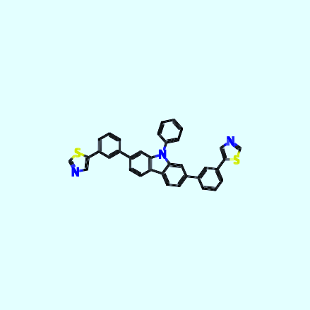 c1ccc(-n2c3cc(-c4cccc(-c5cncs5)c4)ccc3c3ccc(-c4cccc(-c5cncs5)c4)cc32)cc1